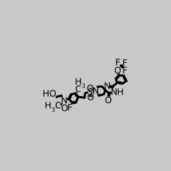 CC(=O)N(CCO)c1cc(C)c(CCS(=O)(=O)N2CCC3(CC2)N=C(c2cccc(OC(F)(F)F)c2)NC3=O)cc1F